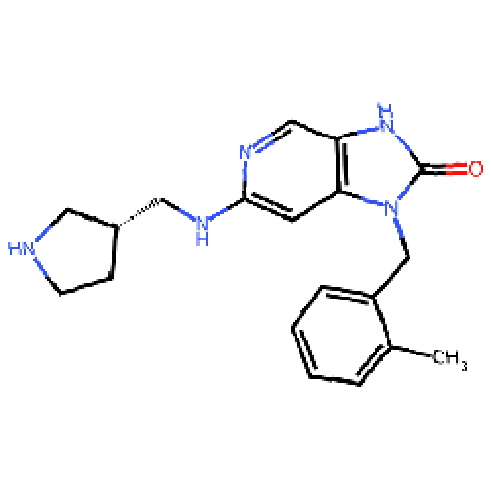 Cc1ccccc1Cn1c(=O)[nH]c2cnc(NC[C@@H]3CCNC3)cc21